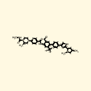 CNC(=O)N1CCN(c2ccc(C(=O)Nc3cc(C(F)(F)F)c(-c4ccc(-c5c[nH]c(C6CC(C)CN6C)n5)cc4)cc3CCl)cn2)CC1C